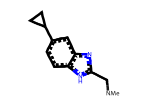 CNCc1nc2cc(C3CC3)ccc2[nH]1